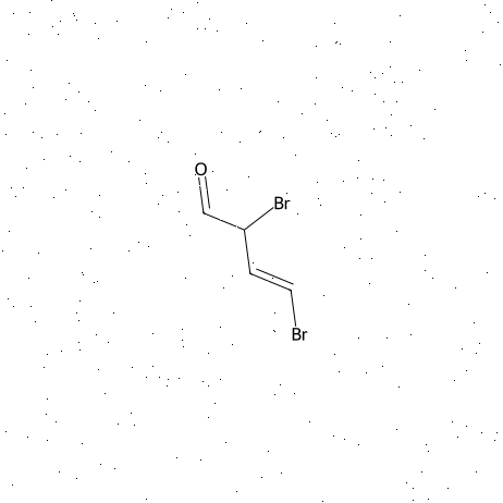 O=CC(Br)C=CBr